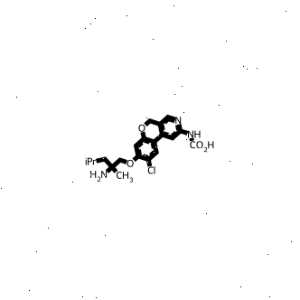 CC(C)CC(C)(N)COc1cc2c(cc1Cl)-c1cc(NC(=O)O)ncc1CO2